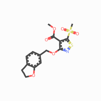 COC(=O)c1c(OCc2ccc3c(c2)OCC3)nsc1S(C)(=O)=O